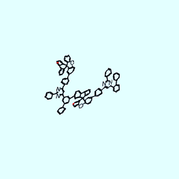 c1ccc(-c2cc(-c3ccc4c(c3)C3(c5ccccc5Oc5ccc(-c6ccc(-c7cc(-c8ccccc8-c8ccccc8)nc(-c8ccccc8)n7)cc6)cc53)c3ccccc3-4)cc(-c3cc(-c4ccc(-c5ccc6c(c5)C5(c7ccccc7O6)c6ccccc6-c6ccccc65)cc4)nc(-c4ccccc4)n3)c2)cc1